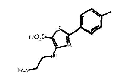 Cc1ccc(-c2nc(NCCN)c(C(=O)O)s2)cc1